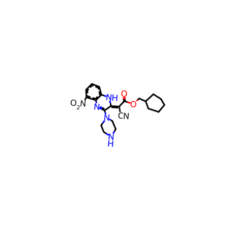 N#C/C(C(=O)OCC1CCCCC1)=C1/Nc2cccc([N+](=O)[O-])c2N=C1N1CCNCC1